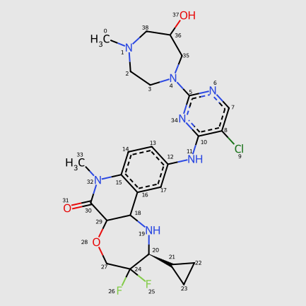 CN1CCN(c2ncc(Cl)c(Nc3ccc4c(c3)C3N[C@@H](C5CC5)C(F)(F)COC3C(=O)N4C)n2)CC(O)C1